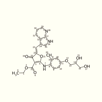 CCOC(=O)C1=C(Nc2ccc(OCC(O)CO)cc2C)OC(=Cc2c[nH]c3ncccc23)C1=O